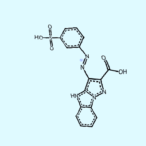 O=C(O)c1nn2c([nH]c3ccccc32)c1/N=N/c1cccc(S(=O)(=O)O)c1